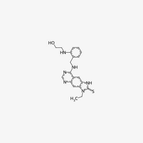 CCn1c(=S)[nH]c2cc3c(NCc4ccccc4NCCO)ncnc3cc21